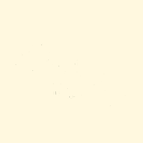 CC1(C)c2ccc(-c3cccc4ccccc34)cc2C(=O)c2cc(-c3cccc4ccccc34)ccc21